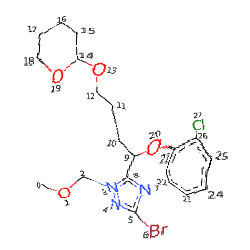 COCn1nc(Br)nc1C(CCCOC1CCCCO1)Oc1ccccc1Cl